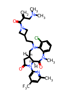 C=C(CN(C)C)C(=O)N1CC(CCN2C[C@H]3CC(=O)N(c4cc(C(F)(F)F)cc(C)n4)[C@@H]3C(=O)N(C)c3cccc(Cl)c32)C1